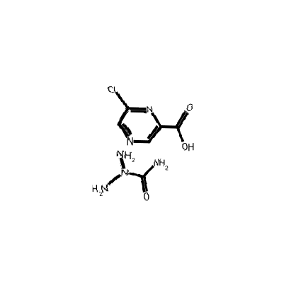 NC(=O)N(N)N.O=C(O)c1cncc(Cl)n1